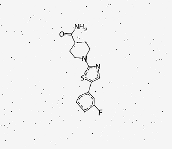 NC(=O)C1CCN(c2ncc(-c3cccc(F)c3)s2)CC1